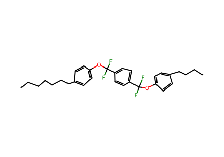 CCCCCCCc1ccc(OC(F)(F)c2ccc(C(F)(F)Oc3ccc(CCCC)cc3)cc2)cc1